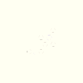 c1ccc(-c2nc(-c3ccccc3)nc(-c3ccccc3-c3cccc(-c4cccc(-c5nc6ccccc6s5)c4)c3)n2)cc1